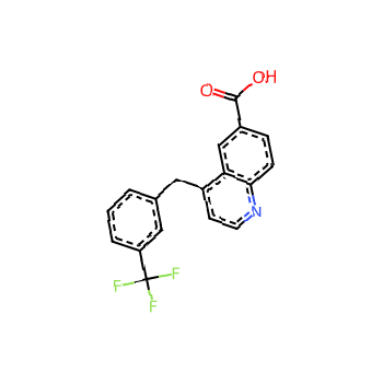 O=C(O)c1ccc2nccc(Cc3cccc(C(F)(F)F)c3)c2c1